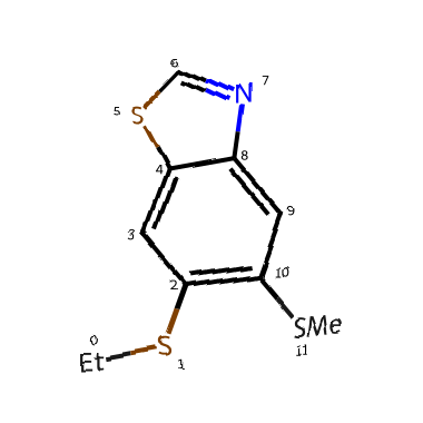 CCSc1cc2scnc2cc1SC